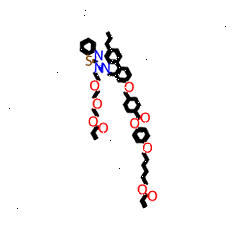 C=CC(=O)OCCCCCCOc1ccc(OC(=O)C2CCC(COc3ccc(-c4ccc(CCC)cc4)c(/C=N/N(CCOCCOCCOC(=O)C=C)c4nc5ccccc5s4)c3)CC2)cc1